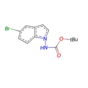 CC(C)(C)OC(=O)Nn1ccc2cc(Br)ccc21